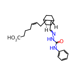 O=C(O)CCC/C=C\C[C@H]1C2CCC(CC2)[C@@H]1C=NNC(=O)Nc1ccccc1